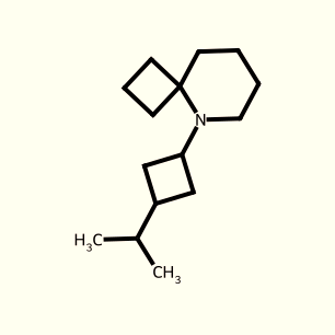 CC(C)C1CC(N2CCCCC23CCC3)C1